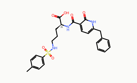 Cc1ccc(S(=O)(=O)NCCC[C@H](NC(=O)c2ccc(Cc3ccccc3)[nH]c2=O)C(=O)O)cc1